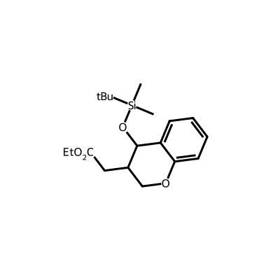 CCOC(=O)CC1COc2ccccc2C1O[Si](C)(C)C(C)(C)C